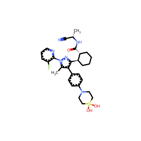 Cc1c(-c2ccc(N3CCS(O)(O)CC3)cc2)c([C@@H]2CCCC[C@H]2C(=O)N[C@@H](C)C#N)nn1-c1ncccc1F